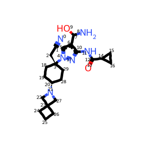 N#CC[C@]1(n2cc(C(N)O)c(NC(=O)C3CC3)n2)CC[C@@H](N2CC3(CCC3)C2)CC1